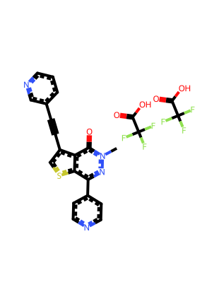 Cn1nc(-c2ccncc2)c2scc(C#Cc3cccnc3)c2c1=O.O=C(O)C(F)(F)F.O=C(O)C(F)(F)F